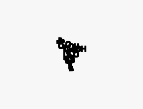 C#Cc1ccc([C@H](NC(=O)OC(C)(C)C)[C@@H](O)C(=O)O)cc1